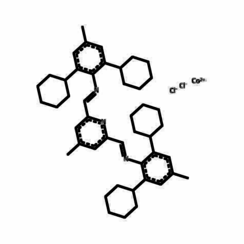 Cc1cc(C=Nc2c(C3CCCCC3)cc(C)cc2C2CCCCC2)nc(C=Nc2c(C3CCCCC3)cc(C)cc2C2CCCCC2)c1.[Cl-].[Cl-].[Co+2]